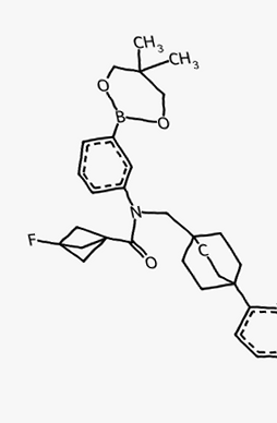 CC1(C)COB(c2cccc(N(CC34CCC(c5ccc(C(F)(F)F)cn5)(CC3)CC4)C(=O)C34CC(F)(C3)C4)c2)OC1